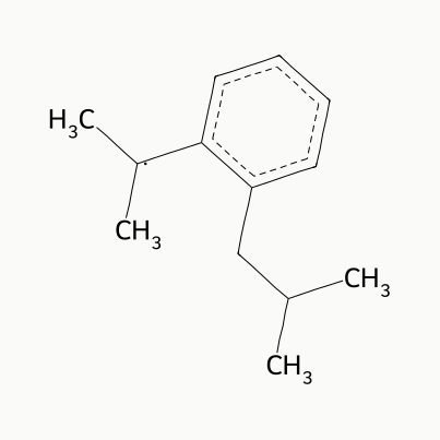 C[C](C)c1ccccc1CC(C)C